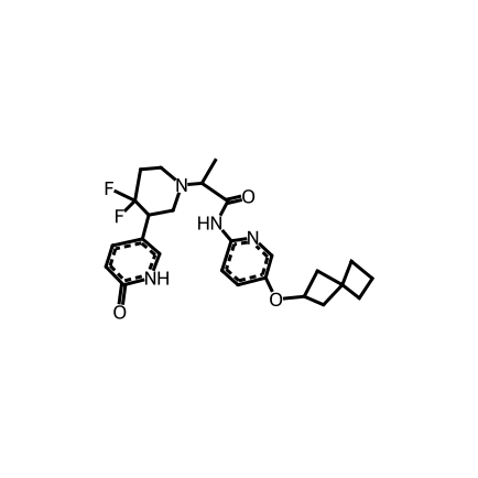 CC(C(=O)Nc1ccc(OC2CC3(CCC3)C2)cn1)N1CCC(F)(F)C(c2ccc(=O)[nH]c2)C1